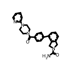 NC(=O)N1Cc2cccc(-c3ccc(C(=O)N4CCN(c5ccccn5)CC4)cc3)c2C1